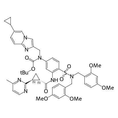 COc1ccc(CN(Cc2ccc(OC)cc2OC)S(=O)(=O)c2ccc(N(Cc3cn4cc(C5CC5)ccc4n3)C(=O)OC(C)(C)C)cc2NC(=O)[C@H]2C[C@@H]2c2nccc(C)n2)c(OC)c1